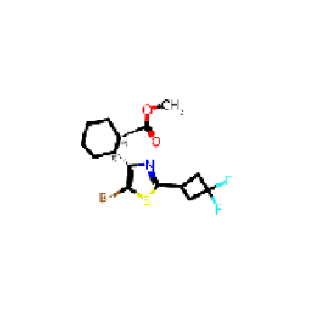 COC(=O)[C@@H]1CCCC[C@H]1c1nc(C2CC(F)(F)C2)sc1Br